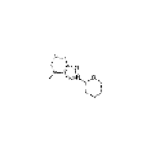 CN1CN=Cc2nn(C3CCCCO3)cc21